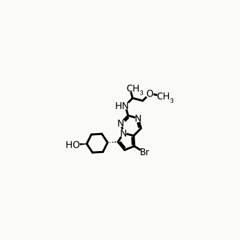 COCC(C)Nc1ncc2c(Br)cc([C@H]3CC[C@H](O)CC3)n2n1